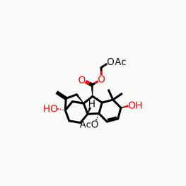 C=C1C[C@]23C[C@@]1(O)CC[C@H]2[C@]1(OC(C)=O)C=C[C@H](O)C(C)(C)C1[C@@H]3C(=O)OCOC(C)=O